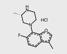 Cc1coc2c(N3CCN[C@@H](C)C3)c(F)ccc12.Cl